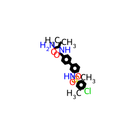 Cc1cc(S(=O)(=O)Nc2cccc(-c3ccc(C(=O)N[C@H](C(N)=O)C(C)C)cc3)c2)c(C)cc1Cl